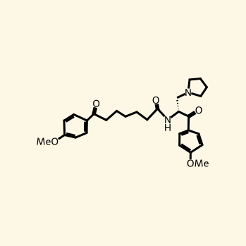 COc1ccc(C(=O)CCCCCC(=O)N[C@H](CN2CCCC2)C(=O)c2ccc(OC)cc2)cc1